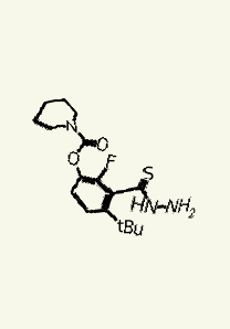 CC(C)(C)c1ccc(OC(=O)N2CCCCC2)c(F)c1C(=S)NN